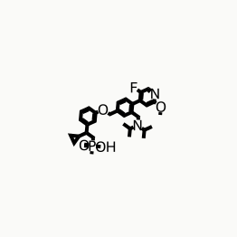 COc1cc(-c2ccc(COc3cccc(C(CP(C)(=O)O)C4CC4)c3)cc2CN(C(C)C)C(C)C)c(F)cn1